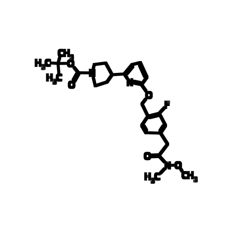 CON(C)C(=O)Cc1ccc(COc2cccc(C3CCN(C(=O)OC(C)(C)C)CC3)n2)c(F)c1